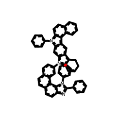 C1=Cc2c(c3cc4c5c6ccccc6ccc5n(-c5ccccc5)c4cc3n2-c2ccc3ccc4ccc5nc(-c6ccccc6)n(-c6ccccc6)c5c4c3c2)CC1